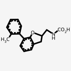 Cc1ccccc1-c1cccc2c1OC(CNC(=O)O)C2